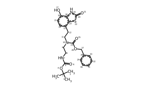 CC(C)(C)OC(=O)NCCN(CCc1ccc(O)c2[nH]c(=O)sc12)C(=O)OCc1ccccc1